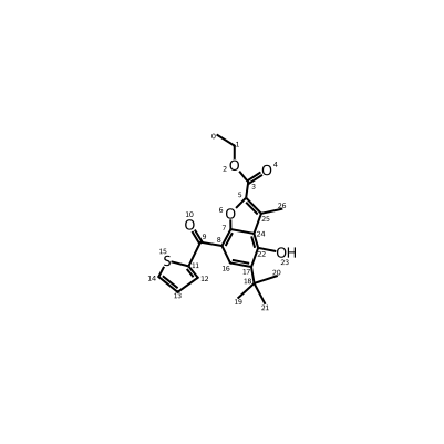 CCOC(=O)c1oc2c(C(=O)c3cccs3)cc(C(C)(C)C)c(O)c2c1C